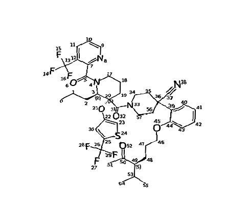 CCC[C@H]1N(C(=O)c2ncccc2C(F)(F)F)CCC[C@@]1(Oc1csc(C(F)(F)F)c1)C(=O)N1CCC(C#N)(c2ccccc2OCCC[C@H](C(C)=O)C(C)C)CC1